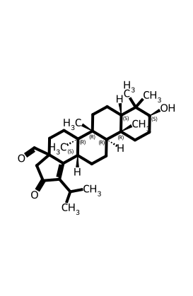 CC(C)C1=C2[C@H]3CC[C@@H]4[C@@]5(C)CC[C@H](O)C(C)(C)[C@H]5CC[C@@]4(C)[C@]3(C)CCC2(C=O)CC1=O